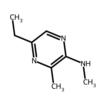 CCc1cnc(NC)c(C)n1